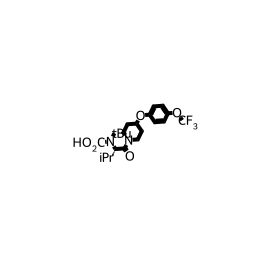 CC(C)[C@@H](C(=O)N1CCC(Oc2ccc(OC(F)(F)F)cc2)CC1)N(C(=O)O)C(C)(C)C